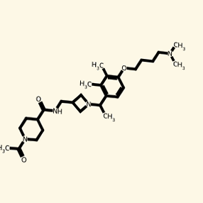 CC(=O)N1CCC(C(=O)NCC2CN(C(C)c3ccc(OCCCCN(C)C)c(C)c3C)C2)CC1